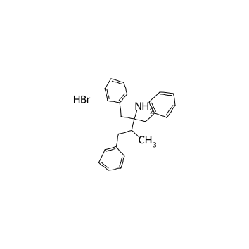 Br.CC(Cc1ccccc1)C(N)(Cc1ccccc1)Cc1ccccc1